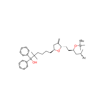 C=C1C[C@H](CCCCC(C)(C)[Si](O)(c2ccccc2)c2ccccc2)O[C@H]1CC[C@H](C[C@@H](C)C(C)=O)O[Si](C)(C)C(C)(C)C